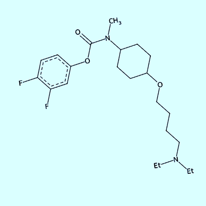 CCN(CC)CCCCOC1CCC(N(C)C(=O)Oc2ccc(F)c(F)c2)CC1